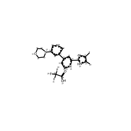 Cc1nc(-c2cc(-c3cncc(N4CCOCC4)c3)ccn2)[nH]c1C.O=C(O)C(F)(F)F